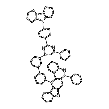 c1ccc(-c2cc(-c3cccc(-c4cccc(-c5c6c(cc7c(-c8ccccc8)nc8ccccc8c57)oc5ccccc56)c4)c3)nc(-c3ccc(-n4c5ccccc5c5ccccc54)cc3)n2)cc1